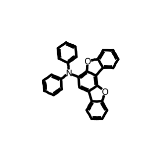 c1ccc(N(c2ccccc2)c2cc3c4ccccc4oc3c3c2oc2ccccc23)cc1